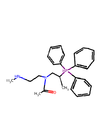 CNCCN(CC(C)[PH](c1ccccc1)(c1ccccc1)c1ccccc1)C(C)=O